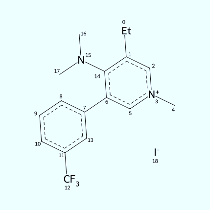 CCc1c[n+](C)cc(-c2cccc(C(F)(F)F)c2)c1N(C)C.[I-]